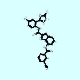 N#Cc1cccc(C(=O)Nc2cccc3cc(C(=O)Nc4ccc(Br)cc4-c4noc(=O)[nH]4)[nH]c23)c1